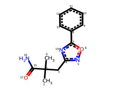 CC(C)(Cc1noc(-c2ccccc2)n1)C(N)=O